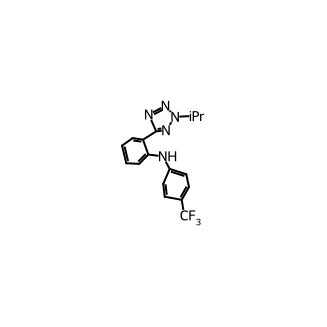 CC(C)n1nnc(-c2ccccc2Nc2ccc(C(F)(F)F)cc2)n1